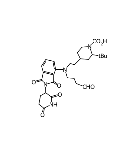 CC(C)(C)C1CC(CCN(CCCC=O)c2cccc3c2C(=O)N(C2CCC(=O)NC2=O)C3=O)CCN1C(=O)O